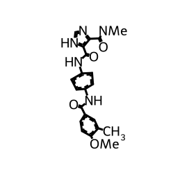 CNC(=O)c1nc[nH]c1C(=O)Nc1ccc(NC(=O)c2ccc(OC)c(C)c2)cc1